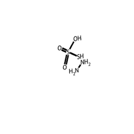 NN.O=S(=O)(O)S